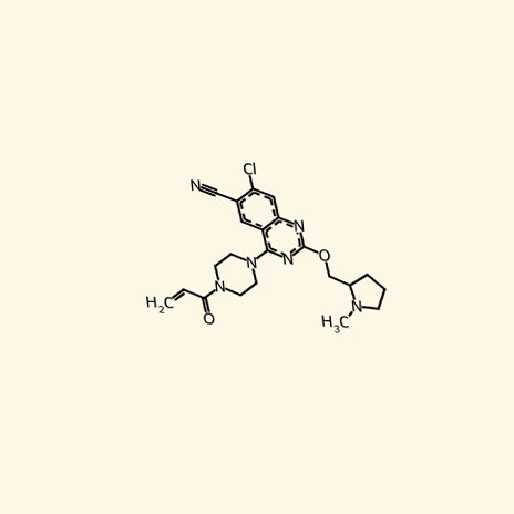 C=CC(=O)N1CCN(c2nc(OCC3CCCN3C)nc3cc(Cl)c(C#N)cc23)CC1